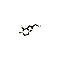 CC(C)Cc1cc2n(n1)CCN(C)C2=O